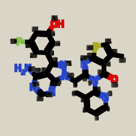 Cc1cccnc1-n1c(Cn2nc(-c3cc(O)cc(F)c3)c3c(N)ncnc32)nc2scc(C)c2c1=O